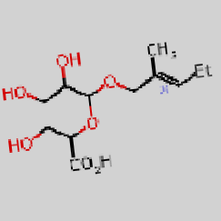 CC/C=C(\C)COC(OC(CO)C(=O)O)C(O)CO